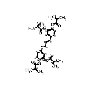 C=C(C)C(=O)Oc1ccc(/C=C/COc2ccc(OC(=O)C(=C)C)c(OC(=O)C(=C)C)c2)cc1OC(=O)C(=C)C